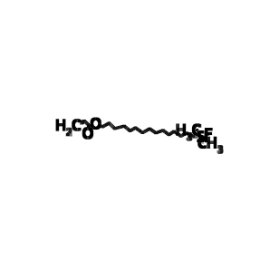 C=CC(=O)OCCCCCCCCCCCCCCC[Si](C)(C)F